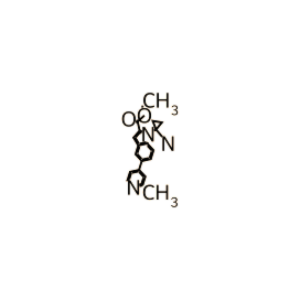 CCOC(=O)c1cc2cc(-c3ccnc(C)c3)ccc2n1C1(C#N)CC1